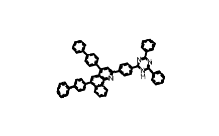 c1ccc(C2=NC(c3ccc(-c4cc(-c5ccc(-c6ccccc6)cc5)c5cc(-c6ccc(-c7ccccc7)cc6)c6ccccc6c5n4)cc3)NC(c3ccccc3)=N2)cc1